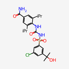 CC(C)c1cc(C(N)=O)cc(C(C)C)c1NC(=O)NS(=O)(=O)c1cc(Cl)cc(C(C)(C)O)c1